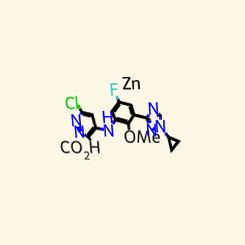 COc1c(Nc2cc(Cl)nnc2C(=O)O)cc(F)cc1-c1ncn(C2CC2)n1.[Zn]